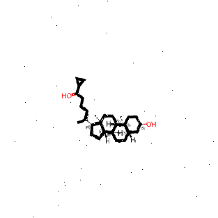 CC(CCCC(O)C1CC1)[C@H]1CC[C@H]2[C@@H]3CC[C@H]4C[C@@H](O)CC[C@]4(C)[C@H]3CC[C@]12C